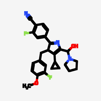 COc1ccc(CC2C(c3ccc(C#N)c(F)c3)=NC(C(O)N3CCCC3)=C2C2CC2)cc1F